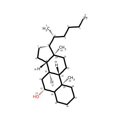 CC(C)CCC[C@@H](C)[C@H]1CC[C@H]2[C@@H]3C[C@@H](O)C4CCCC[C@]4(C)[C@H]3CC[C@]12C